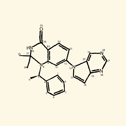 C[C@H](c1ccccc1)N1c2cc(-n3ccc4ncncc43)ccc2C(=O)NC1(C)C